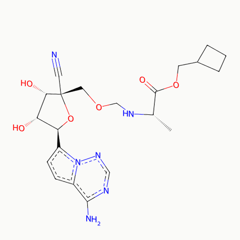 C[C@H](NCOC[C@@]1(C#N)O[C@@H](c2ccc3c(N)ncnn23)[C@H](O)[C@@H]1O)C(=O)OCC1CCC1